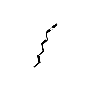 C=C=CC=CCC=CC